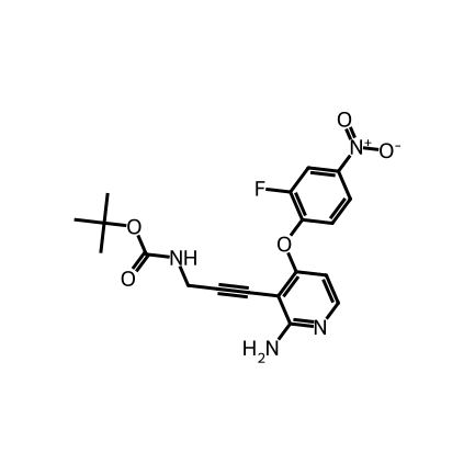 CC(C)(C)OC(=O)NCC#Cc1c(Oc2ccc([N+](=O)[O-])cc2F)ccnc1N